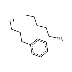 CCCCCN.OCCCc1ccccc1